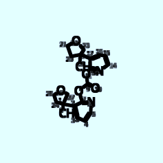 CC1(c2cccnc2OC(=O)Oc2ncccc2C2(C)CCOC2)CCOC1